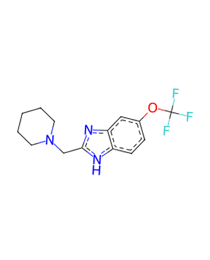 FC(F)(F)Oc1ccc2[nH]c(CN3CCCCC3)nc2c1